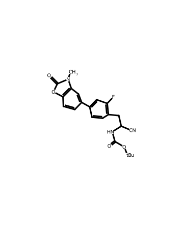 Cn1c(=O)oc2ccc(-c3ccc(CC(C#N)NC(=O)OC(C)(C)C)c(F)c3)cc21